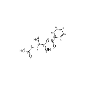 O=C(O)CCC(O)C(O)OC(=O)c1ccccc1